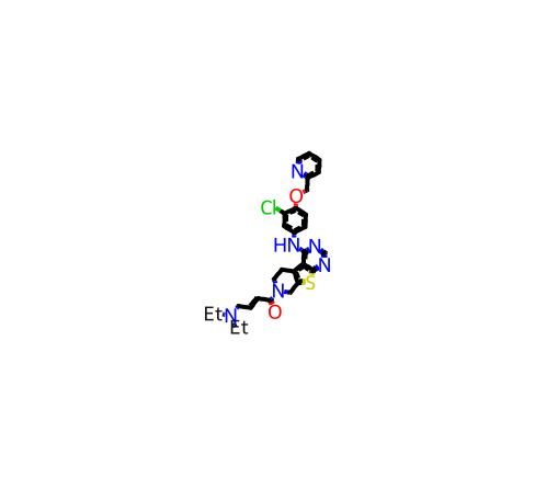 CCN(CC)C/C=C/C(=O)N1CCc2c(sc3ncnc(Nc4ccc(OCc5ccccn5)c(Cl)c4)c23)C1